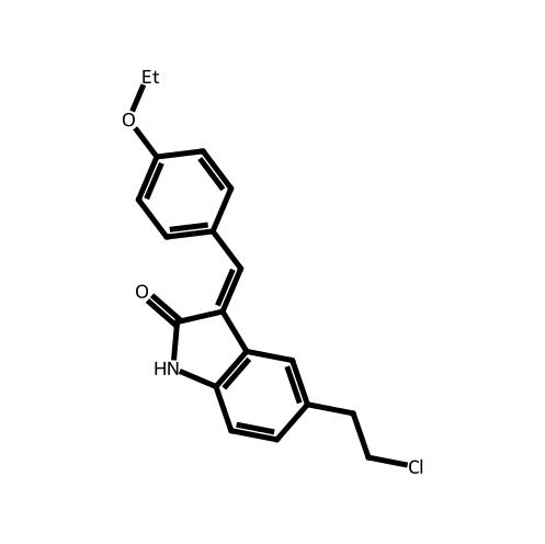 CCOc1ccc(C=C2C(=O)Nc3ccc(CCCl)cc32)cc1